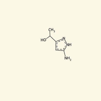 CC(O)c1cc(N)[nH]n1